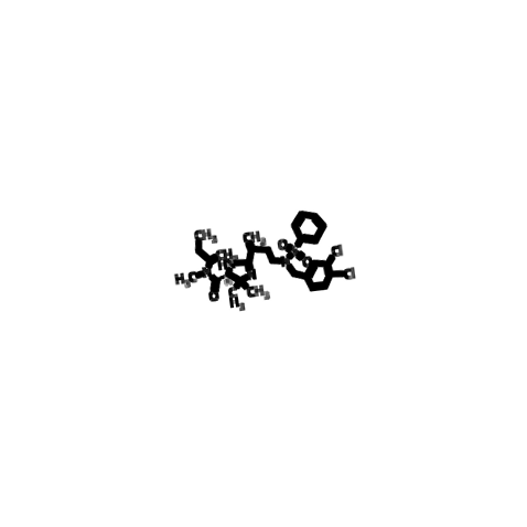 C=C(CCN(Cc1ccc(Cl)c(Cl)c1)S(=O)(=O)c1ccccc1)C1=NC(C)(C)[C@H](C(=O)N(C)C(=C)CC)N1